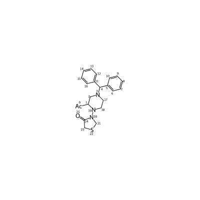 CC(=O)C1CN(C(c2ccccc2)c2ccccc2)CCN1N1CSCC1=O